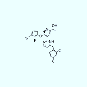 CC(O)c1cc(C2=NOCC(Cc3ccc(Cl)cc3Cl)N2)c(Oc2cccc(C3CC3)c2F)nn1